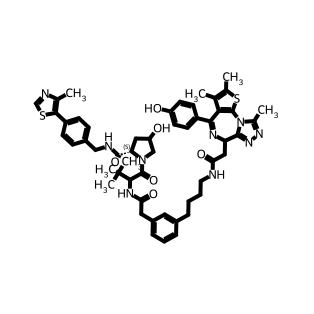 Cc1ncsc1-c1ccc(CNC(=O)[C@@H]2CC(O)CN2C(=O)C(NC(=O)Cc2cccc(CCCCNC(=O)CC3N=C(c4ccc(O)cc4)c4c(sc(C)c4C)-n4c(C)nnc43)c2)C(C)(C)C)cc1